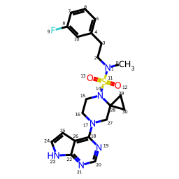 CN(CCc1cccc(F)c1)S(=O)(=O)N1CCN(c2ncnc3[nH]ccc23)CC12CC2